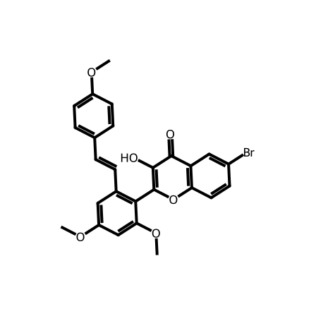 COc1ccc(C=Cc2cc(OC)cc(OC)c2-c2oc3ccc(Br)cc3c(=O)c2O)cc1